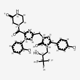 O=C1CN(C(=O)c2nc(Cn3nc(-c4ccc(Cl)cc4)n(C[C@H](O)C(F)(F)F)c3=O)nn2-c2ccccc2Cl)CCN1